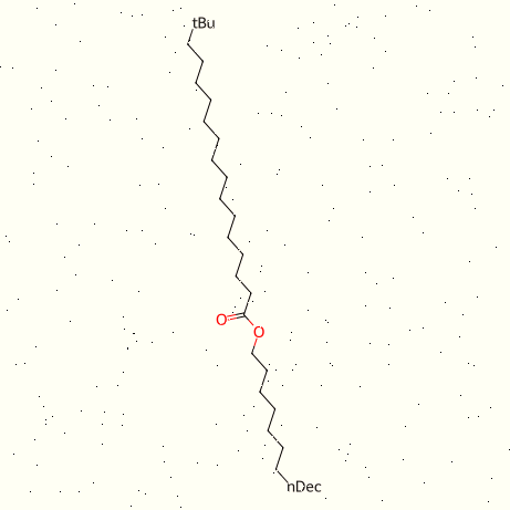 CCCCCCCCCCCCCCCCCOC(=O)CCCCCCCCCCCCCCC(C)(C)C